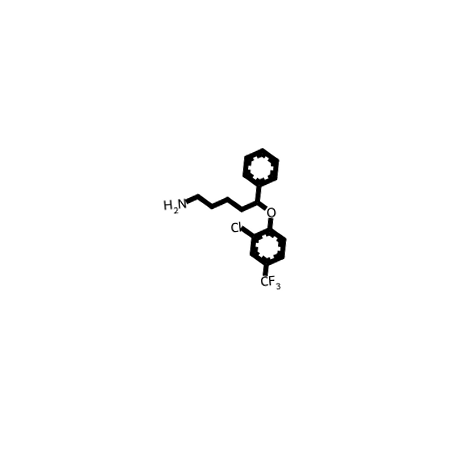 NCCCCC(Oc1ccc(C(F)(F)F)cc1Cl)c1ccccc1